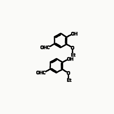 CCOc1cc(C=O)ccc1O.CCOc1cc(C=O)ccc1O